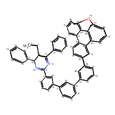 CCC1C(c2ccccc2)=NC(c2cccc(-c3cccc(-c4cccc(-c5ccc6c(c5)c5cccc7oc8cccc6c8c75)c4)c3)c2)=NC1c1ccccc1